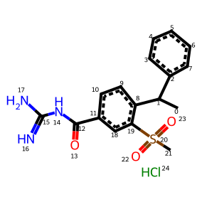 CC(c1ccccc1)c1ccc(C(=O)NC(=N)N)cc1S(C)(=O)=O.Cl